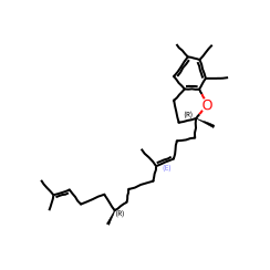 CC(C)=CCC[C@H](C)CCC/C(C)=C/CC[C@]1(C)CCc2cc(C)c(C)c(C)c2O1